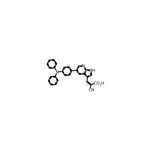 N#C/C(=C/c1c[nH]c2ncc(-c3ccc(N(c4ccccc4)c4ccccc4)cc3)cc12)C(=O)O